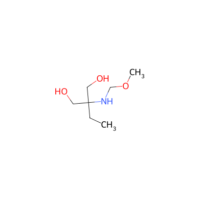 CCC(CO)(CO)NCOC